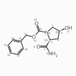 NC(=O)[C@@H]1C[C@H](O)CN1C(=O)OCc1ccccc1